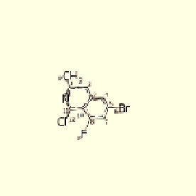 Cc1cc2cc(Br)cc(F)c2c(Cl)n1